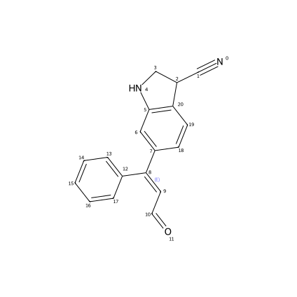 N#CC1CNc2cc(/C(=C/C=O)c3ccccc3)ccc21